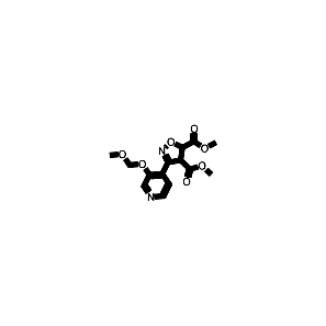 COCOc1cnccc1C1=NOC(C(=O)OC)C1C(=O)OC